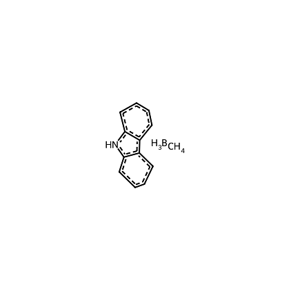 B.C.c1ccc2c(c1)[nH]c1ccccc12